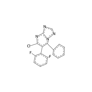 Fc1cccc(F)c1-c1c(Cl)nc2ncnn2c1-c1ccccc1